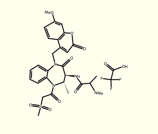 CNC(C)C(=O)N[C@@H]1C(=O)N(Cc2cc(=O)oc3cc(OC)ccc23)c2ccccc2N(C(=O)CS(C)(=O)=O)[C@H]1C.O=C(O)C(F)(F)F